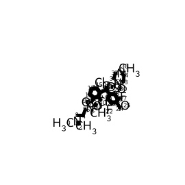 CN(C)CCCN(C)S(=O)(=O)c1ccc(Cl)c(C(=O)c2cc(F)c([C]=O)c(F)c2S(=O)(=O)N2CCN(C)CC2)c1Cl